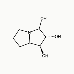 OC1[C@H](O)[C@@H](O)C2CCCN12